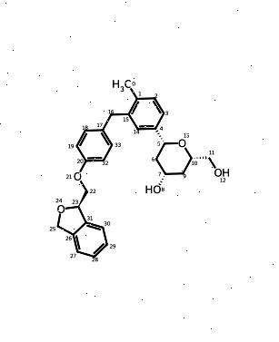 Cc1ccc([C@H]2C[C@@H](O)C[C@@H](CO)O2)cc1Cc1ccc(OC[C@@H]2OCc3ccccc32)cc1